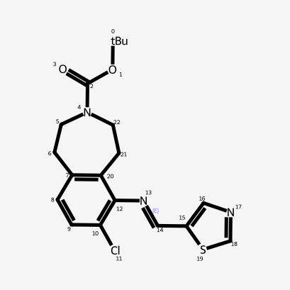 CC(C)(C)OC(=O)N1CCc2ccc(Cl)c(/N=C/c3cncs3)c2CC1